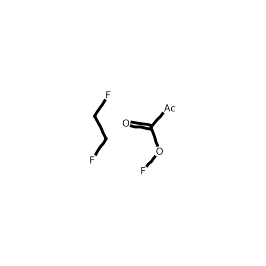 CC(=O)C(=O)OF.FCCF